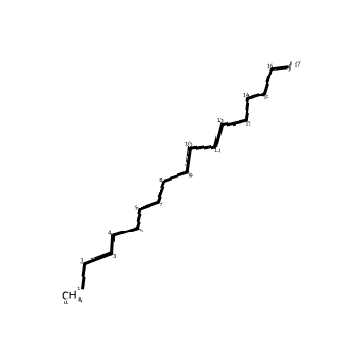 C.CCCCCCCCCCCCCCCCI